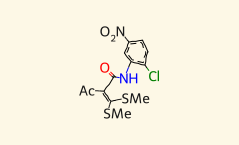 CSC(SC)=C(C(C)=O)C(=O)Nc1cc([N+](=O)[O-])ccc1Cl